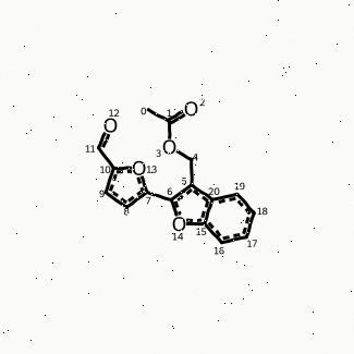 CC(=O)OCc1c(-c2ccc(C=O)o2)oc2ccccc12